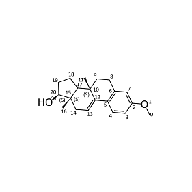 COc1ccc2c(c1)CC[C@]1(C)C2=CC[C@@]2(C)C1CC[C@@H]2O